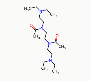 CCN(CC)CCN(CCN(CCN(CC)CC)C(C)=O)C(C)=O